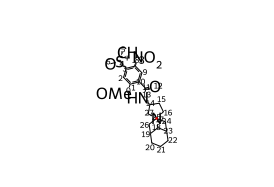 COc1cc([S@+](C)[O-])c([N+](=O)[O-])cc1C(=O)NC1CCN(C2C3CCCC2CCC3)C1